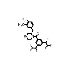 Cc1ccc(C[C@@H]2CNCCN2C(=O)c2cc(C(F)C(F)F)cc(C(F)C(F)F)c2)cc1C